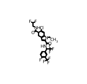 CCn1c(C(=O)NC(c2ccc(F)c(C(F)(F)F)c2)C(F)(F)F)cc2c1C=C(Cl)C(C(=O)NCC(F)F)C2